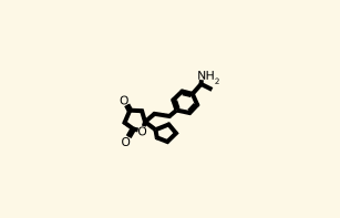 CC(N)c1ccc(CCC2(C3CCCC3)CC(=O)CC(=O)O2)cc1